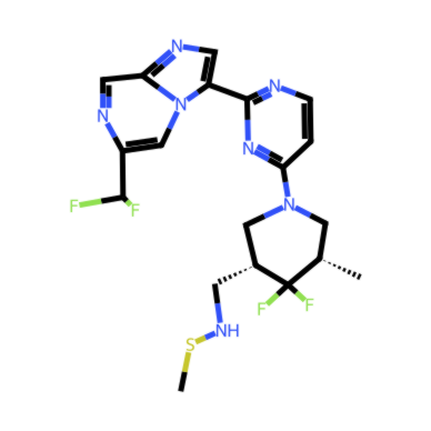 CSNC[C@@H]1CN(c2ccnc(-c3cnc4cnc(C(F)F)cn34)n2)C[C@H](C)C1(F)F